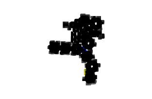 CC/C=C(\C=C1/C(C)C2=C(C=C(N(c3ccc(C4=CC=C=c5c(sc6ccccc56)=C4)cc3)c3ccc(-c4ccc(-c5ccccc5)cc4)cc3)CC=C2)C1(C)C)c1c(CC(C)(C)C)cccc1C1=CCC=CC=C1